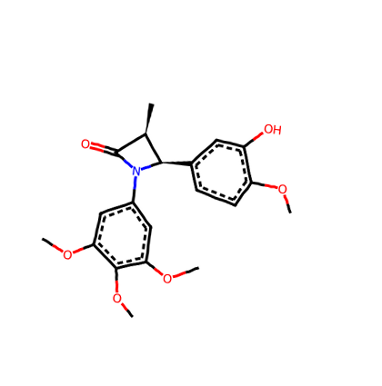 COc1ccc([C@@H]2[C@H](C)C(=O)N2c2cc(OC)c(OC)c(OC)c2)cc1O